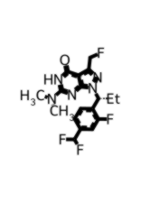 CC[C@H](c1ccc(C(F)F)cc1F)n1nc(CF)c2c(=O)[nH]c(N(C)C)nc21